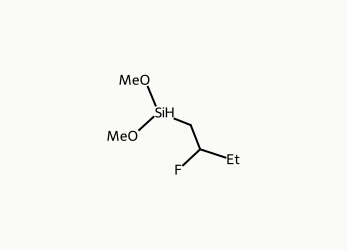 CCC(F)C[SiH](OC)OC